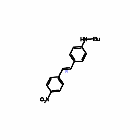 CCC(C)Nc1ccc(/C=C/c2ccc([N+](=O)[O-])cc2)cc1